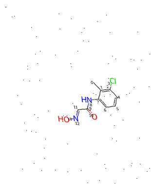 Cc1c(Cl)cccc1NC(=O)/C=N/O